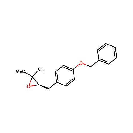 COC1(C(F)(F)F)O[C@@H]1Cc1ccc(OCc2ccccc2)cc1